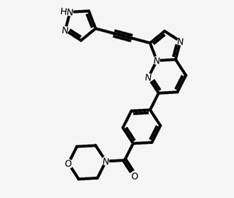 O=C(c1ccc(-c2ccc3ncc(C#Cc4cn[nH]c4)n3n2)cc1)N1CCOCC1